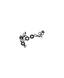 CCOC(=O)c1nnn(Cc2ccc(OC)cc2)c1O[C@H]1CC[C@H](c2ccc(OCCCN(C)C(=O)OC(C)(C)C)cc2)CC1